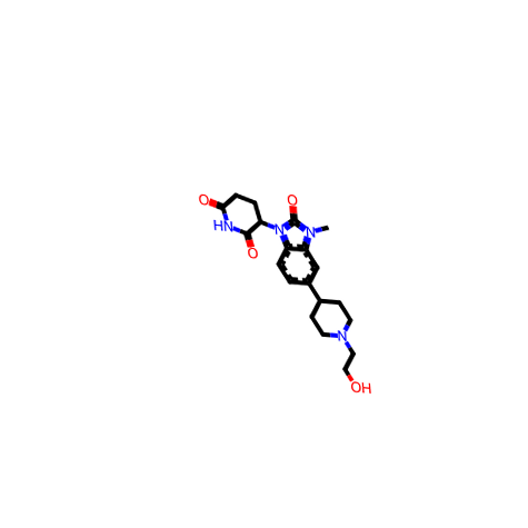 Cn1c(=O)n(C2CCC(=O)NC2=O)c2ccc(C3CCN(CCO)CC3)cc21